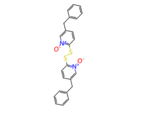 [O-][n+]1cc(Cc2ccccc2)ccc1SSc1ccc(Cc2ccccc2)c[n+]1[O-]